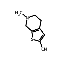 CN1CCc2cc(C#N)sc2C1